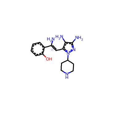 N/C(=C\c1c(N)c(N)nn1C1CCNCC1)c1ccccc1O